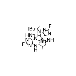 CC(Cc1nc2c(NC(C)C(C)(C)C)nc(F)nc2[nH]1)C(Nc1nc(F)nc2[nH]cnc12)C(C)(C)C